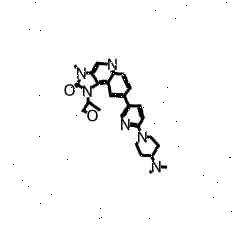 CN(C)C1CCN(c2ccc(-c3ccc4ncc5c(c4c3)n(C3COC3)c(=O)n5C)cn2)CC1